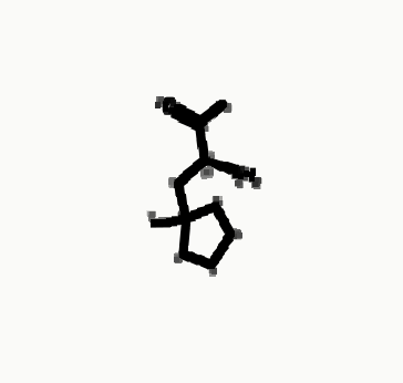 CC(=O)[C@@H](N)CC1(C)CCCC1